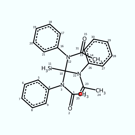 CC(=O)N(c1ccccc1)C([SiH3])(N(C(C)=O)c1ccccc1)N(C(C)=O)c1ccccc1